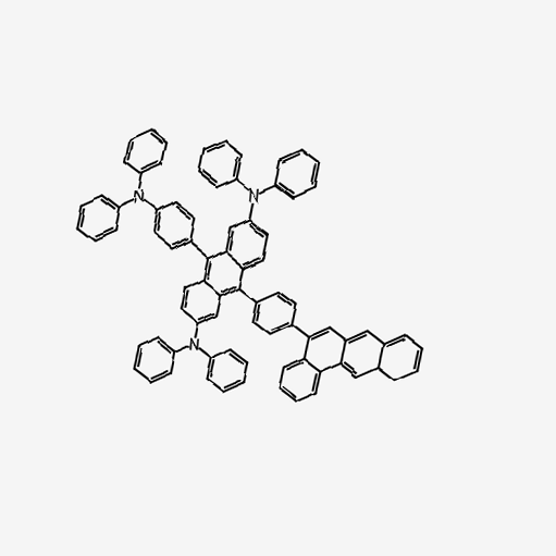 C1=CCC2C=c3c(cc(-c4ccc(-c5c6ccc(N(c7ccccc7)c7ccccc7)cc6c(-c6ccc(N(c7ccccc7)c7ccccc7)cc6)c6ccc(N(c7ccccc7)c7ccccc7)cc56)cc4)c4ccccc34)=CC2=C1